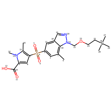 Cc1cc(S(=O)(=O)c2cc(C(=O)O)n(C)c2C)cc2cnn(COCC[Si](C)(C)C)c12